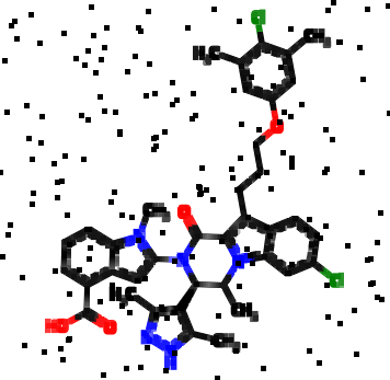 Cc1cc(OCCCc2c3n(c4cc(Cl)ccc24)C(C)[C@@H](c2c(C)n[nH]c2C)N(c2cc4c(C(=O)O)cccc4n2C)C3=O)cc(C)c1Cl